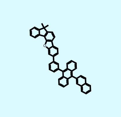 CC1(C)c2ccccc2-c2c1ccc1c2oc2cc(-c3cccc(-c4c5ccccc5c(-c5ccc6ccccc6c5)c5ccccc45)c3)ccc21